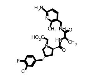 Cc1nc(N)ccc1CNC(=O)C(C)NC(=O)[C@H]1C[C@H](Cc2ccc(F)c(Cl)c2)CN1CC(=O)O